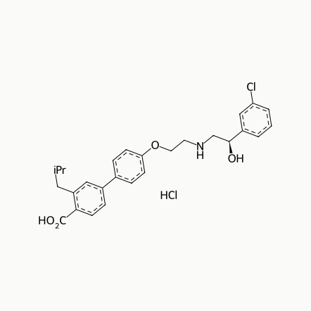 CC(C)Cc1cc(-c2ccc(OCCNC[C@H](O)c3cccc(Cl)c3)cc2)ccc1C(=O)O.Cl